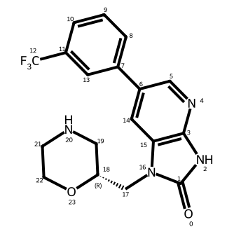 O=c1[nH]c2ncc(-c3cccc(C(F)(F)F)c3)cc2n1C[C@H]1CNCCO1